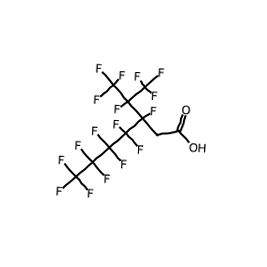 O=C(O)CC(F)(C(F)(F)C(F)(F)C(F)(F)C(F)(F)F)C(F)(C(F)(F)F)C(F)(F)F